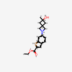 CCOC(=O)c1cc2ccc(N3CC4(C3)CC(C)(O)C4)cc2s1